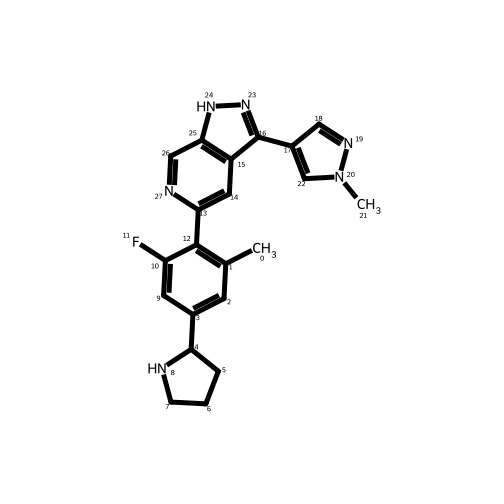 Cc1cc(C2CCCN2)cc(F)c1-c1cc2c(-c3cnn(C)c3)n[nH]c2cn1